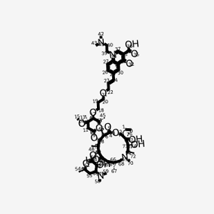 CC[C@H]1OC(=O)[C@H](C)[C@@H](O[C@H]2C[C@@](C)(OC)[C@@H](OCCCOCC=Cc3ccc4c(c3)c(=O)c(C(=O)O)cn4CCN(C)C)[C@H](C)O2)[C@H](C)[C@@H](O[C@@H]2O[C@H](C)C[C@H](N(C)C)[C@H]2O)[C@](C)(O)C[C@@H](C)CN(C)[C@H](C)[C@@H](O)[C@]1(C)O